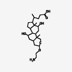 CC(CCC(=O)O)C1CCC2C3C(O)CC4CC(OCCN)CCC4(C)C3CC(O)C12C